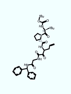 C=CCC(NC(=O)[C@@H]1CCCN1C(=O)[C@@H](NC(=O)OC(C)(C)C)C(C)(C)C)C(=O)C(=O)NCC(=O)NC(c1ccccc1)c1ccccc1